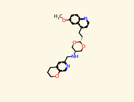 COc1ccc2nccc(CC[C@H]3OC[C@H](NCc4cc5c(cn4)OCCC5)CO3)c2c1